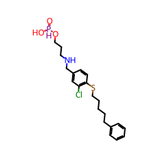 O=[PH](O)OCCCNCc1ccc(SCCCCCc2ccccc2)c(Cl)c1